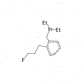 C[CH2][In]([CH2]C)[CH2]c1ccccc1CCCF